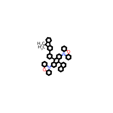 CC1(C)c2ccccc2-c2ccc(-c3cccc(-c4c5cc(N6c7ccccc7Oc7ccccc76)ccc5c(-c5cccc6ccccc56)c5cc(N6c7ccccc7Oc7ccccc76)ccc45)c3)cc21